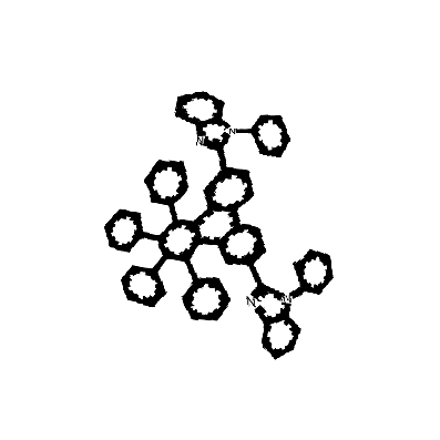 c1ccc(-c2c(-c3ccccc3)c(-c3ccccc3)c3c4cc(-c5nc6ccccc6n5-c5ccccc5)ccc4c4ccc(-c5nc6ccccc6n5-c5ccccc5)cc4c3c2-c2ccccc2)cc1